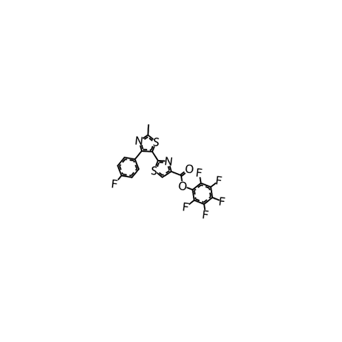 Cc1nc(-c2ccc(F)cc2)c(-c2nc(C(=O)Oc3c(F)c(F)c(F)c(F)c3F)cs2)s1